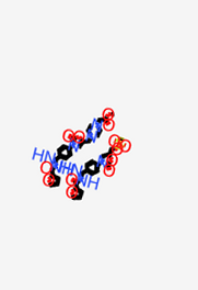 COC(=O)CN1CCN(CC2CN(c3ccc(C(=N)NC(=O)c4ccco4)cc3)C(=O)O2)CC1.CS(=O)(=O)OCC1CN(c2ccc(C(=N)NC(=O)c3ccco3)cc2)C(=O)O1